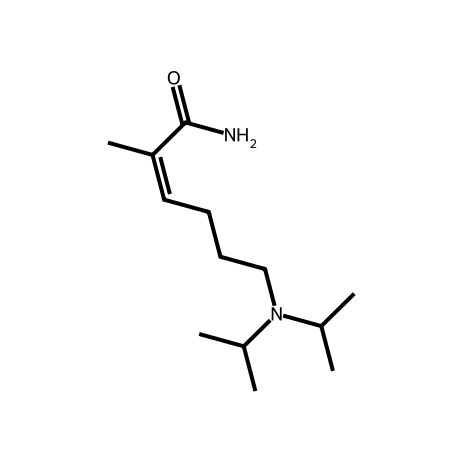 CC(=CCCCN(C(C)C)C(C)C)C(N)=O